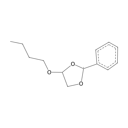 CCCCOC1CO[C](c2ccccc2)O1